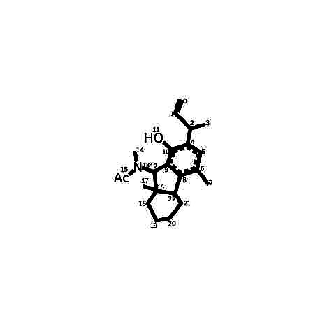 C=CC(C)c1cc(C)c2c(c1O)C(N(C)C(C)=O)C1(C)CCCCC21